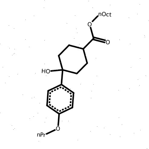 CCCCCCCCOC(=O)C1CCC(O)(c2ccc(OCCC)cc2)CC1